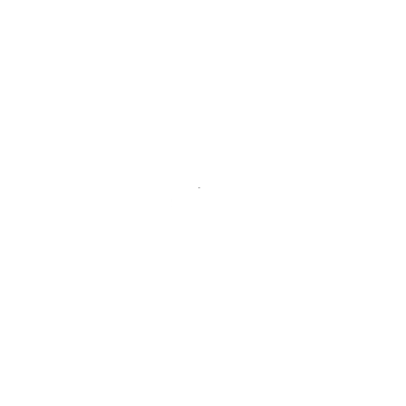 O.O.[Br-].[Br-].[Pd+2]